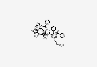 CC(=O)O[C@@]12COC1C[C@H](O)[C@@]1(C)C(=O)[C@H](C)C3=C(C)[C@@H](OC(=O)[C@H](OC(=O)CCCC(=O)O)[C@@H](NC(=O)c4ccccc4)c4ccccc4)C[C@@](O)([C@@H](OC(=O)c4ccccc4)[C@@H]12)C3(C)C